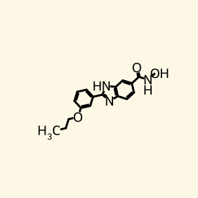 CCCOc1cccc(-c2nc3ccc(C(=O)NO)cc3[nH]2)c1